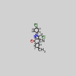 Cc1ccc(C(=O)c2nn(-c3ccc(Cl)cc3)c(CCl)c2C#N)cc1